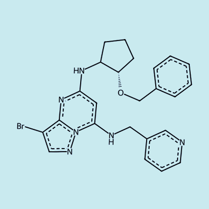 Brc1cnn2c(NCc3cccnc3)cc(NC3CCC[C@@H]3OCc3ccccc3)nc12